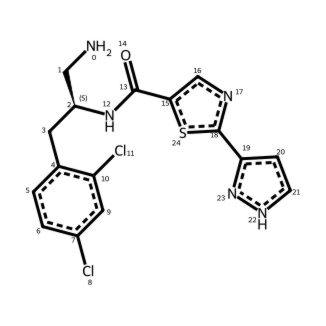 NC[C@H](Cc1ccc(Cl)cc1Cl)NC(=O)c1cnc(-c2cc[nH]n2)s1